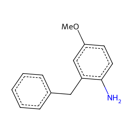 COc1ccc(N)c(Cc2ccccc2)c1